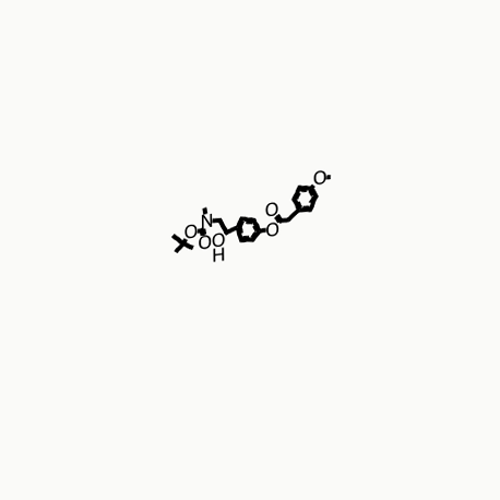 COc1ccc(CC(=O)Oc2ccc(C(O)CN(C)C(=O)OC(C)(C)C)cc2)cc1